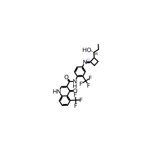 CC[C@@H](O)C1CC/C1=N\c1ccc(NC(=O)c2c[nH]c3cccc(C(F)(F)F)c3c2=O)c(C(F)(F)F)c1